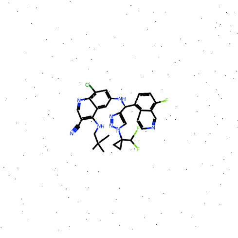 CC(C)(C)CNc1c(C#N)cnc2c(Cl)cc(N[C@H](c3cn(C4(C(F)F)CC4)nn3)c3ccc(F)c4cnccc34)cc12